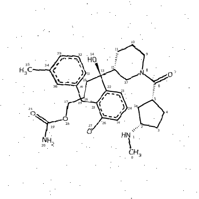 CN[C@H]1CC[C@@H](C(=O)N2CCC[C@@H]([C@@](O)(CCCOC(N)=O)c3cccc(Cl)c3Cc3cccc(C)c3)C2)C1